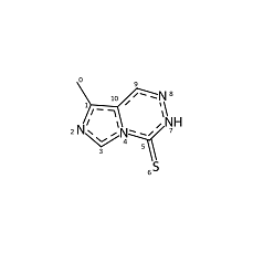 Cc1ncn2c(=S)[nH]ncc12